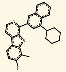 Cc1c(F)ccc2c1sc1c(-c3cc(C4CCCCC4)c4ccccc4c3)nccc12